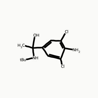 CC(C)(C)NC(C)(O)c1cc(Cl)c(N)c(Cl)c1